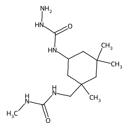 CNC(=O)NCC1(C)CC(NC(=O)NN)CC(C)(C)C1